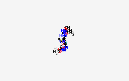 C=C(C)[C@H](NC(=O)OC)C(=O)N1CCC[C@H]1c1ncc(-c2ccc3c(c2)cc2n3[C@H](c3cnc(C4CC4)s3)Oc3cc(-c4cnc([C@@H]5CCCN5C(=O)[C@@H](NC(=O)OC)C(C)C)[nH]4)cc(F)c3-2)[nH]1